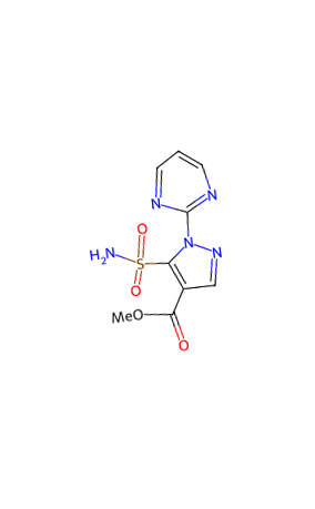 COC(=O)c1cnn(-c2ncccn2)c1S(N)(=O)=O